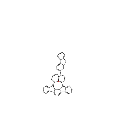 c1ccc(-n2c3ccccc3c3ccc4c5ccccc5n(-c5ccc(-c6ccc7c(c6)Cc6ccccc6-7)cc5)c4c32)cc1